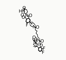 O=C(COc1c(-c2csc(N3CCOCC3)n2)ccc(F)c1F)NCCCCCCC(=O)N1CCN(c2cc3c(cc2F)C(=O)N(C2CCC(=O)NC2=O)C3=O)CC1